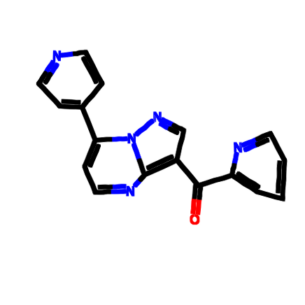 O=C(c1ccccn1)c1cnn2c(-c3ccncc3)ccnc12